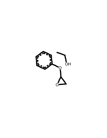 CCO.c1ccc(OC2CO2)cc1